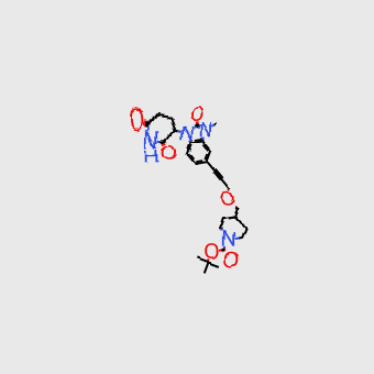 Cn1c(=O)n(C2CCC(=O)NC2=O)c2ccc(C#CCOCC3CCN(C(=O)OC(C)(C)C)CC3)cc21